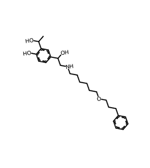 CC(O)c1cc(C(O)CNCCCCCCOCCCc2ccccc2)ccc1O